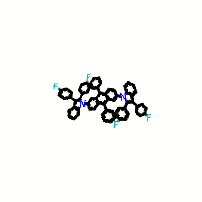 Fc1ccc(-c2c(-c3ccc(F)cc3)n(-c3ccc4c(-c5ccccc5)c5cc(-n6c(-c7ccc(F)cc7)c(-c7ccc(F)cc7)c7ccccc76)ccc5c(-c5ccccc5)c4c3)c3ccccc23)cc1